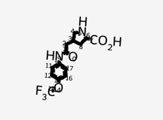 O=C(CC1CNC(C(=O)O)C1)Nc1ccc(OC(F)(F)F)cc1